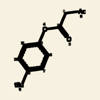 CC(=O)CC(=O)Oc1ccc(C(C)(C)C)cc1